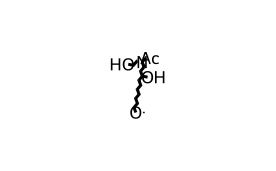 CC(=O)N(CCO)CCC(O)CCCCCCC[O]